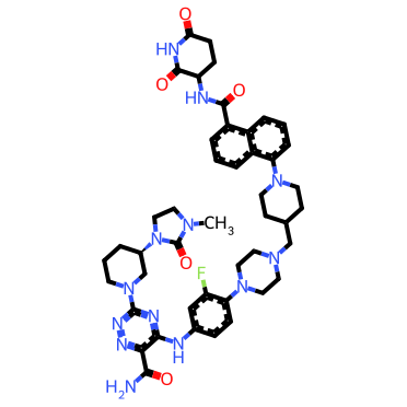 CN1CCN([C@@H]2CCCN(c3nnc(C(N)=O)c(Nc4ccc(N5CCN(CC6CCN(c7cccc8c(C(=O)NC9CCC(=O)NC9=O)cccc78)CC6)CC5)c(F)c4)n3)C2)C1=O